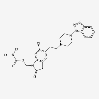 CCN(CC)C(=O)OCN1C(=O)Cc2cc(CCN3CCN(c4nsc5ccccc45)CC3)c(Cl)cc21